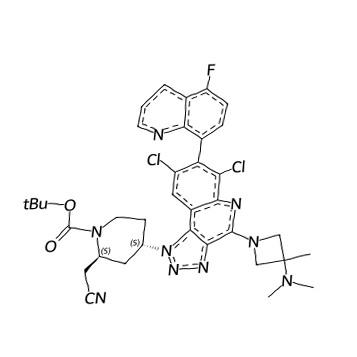 CN(C)C1(C)CN(c2nc3c(Cl)c(-c4ccc(F)c5cccnc45)c(Cl)cc3c3c2nnn3[C@H]2CCN(C(=O)OC(C)(C)C)[C@H](CC#N)C2)C1